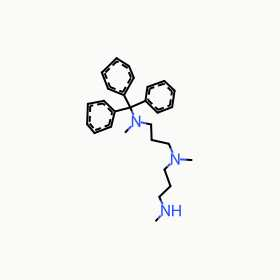 CNCCCN(C)CCCN(C)C(c1ccccc1)(c1ccccc1)c1ccccc1